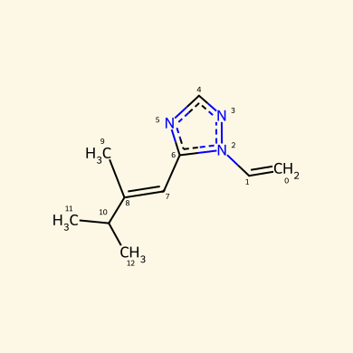 C=Cn1ncnc1/C=C(\C)C(C)C